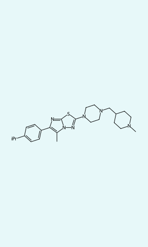 Cc1c(-c2ccc(C(C)C)cc2)nc2sc(N3CCN(CC4CCN(C)CC4)CC3)nn12